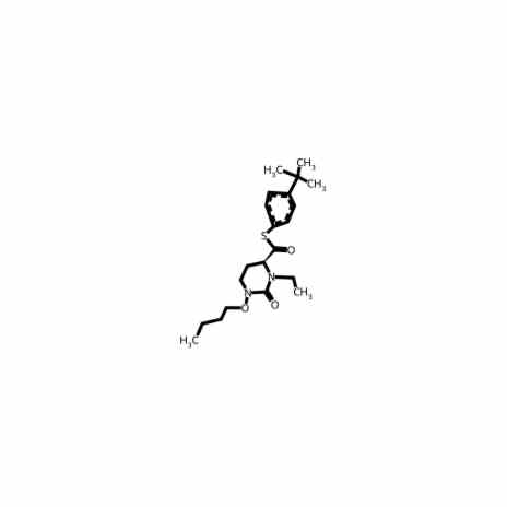 CCCCON1CC[C@@H](C(=O)Sc2ccc(C(C)(C)C)cc2)N(CC)C1=O